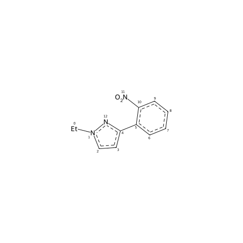 CCn1ccc(-c2ccccc2[N+](=O)[O-])n1